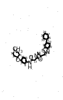 CN1CCC(Oc2ccc(NC(=O)Cc3nnc(Cc4nc5ccc(-c6ccccc6)cc5s4)o3)cc2)CC1